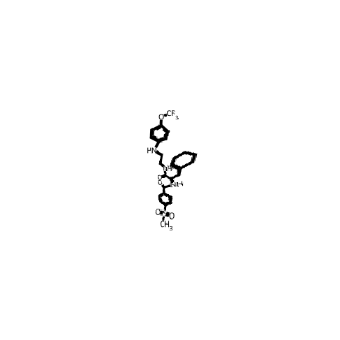 CS(=O)(=O)c1ccc(C(=O)NC(CC2CCCCC2)C(=O)NCCNc2ccc(OC(F)(F)F)cc2)cc1